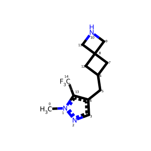 Cn1ncc(CC2CC3(CNC3)C2)c1C(F)(F)F